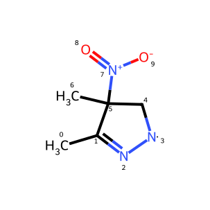 CC1=N[N]CC1(C)[N+](=O)[O-]